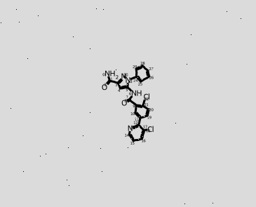 NC(=O)c1cc(NC(=O)c2cc(-c3ncccc3Cl)ccc2Cl)n(-c2ccccc2)n1